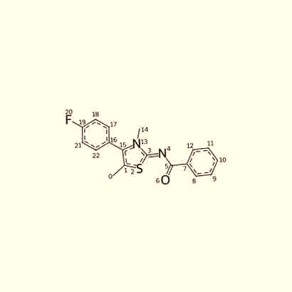 Cc1sc(=NC(=O)c2ccccc2)n(C)c1-c1ccc(F)cc1